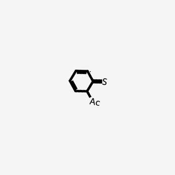 CC(=O)C1C=CC=[C]C1=S